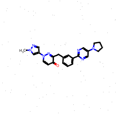 Cn1cc(-n2ccc(=O)c(Cc3cccc(-c4ncc(N5CCCC5)cn4)c3)n2)cn1